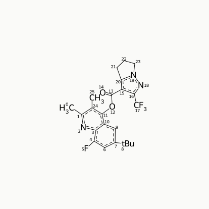 Cc1nc2c(F)cc(C(C)(C)C)cc2c(OC(=O)c2c(C(F)(F)F)nn3c2CCC3)c1C